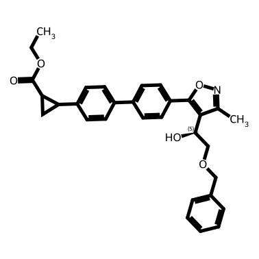 CCOC(=O)C1CC1c1ccc(-c2ccc(-c3onc(C)c3[C@H](O)COCc3ccccc3)cc2)cc1